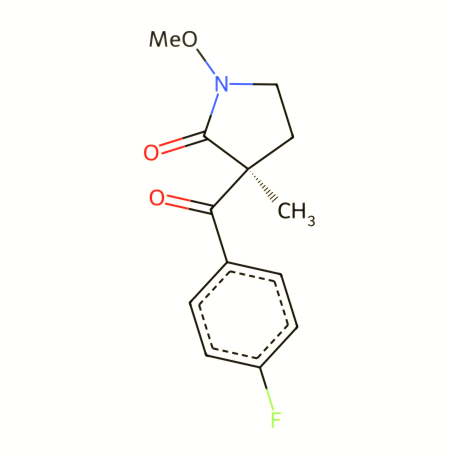 CON1CC[C@@](C)(C(=O)c2ccc(F)cc2)C1=O